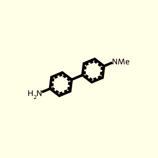 CNc1ccc(-c2ccc(N)cc2)cc1